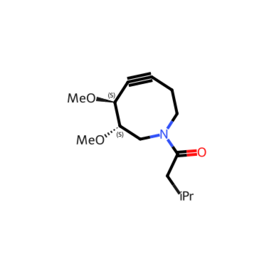 CO[C@H]1C#CCCN(C(=O)CC(C)C)C[C@@H]1OC